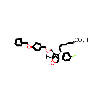 O=C(O)CCC/C=C\C[C@H]1[C@H](COCc2ccc(OCc3ccccc3)cc2)[C@@H]2C[C@@]1(c1ccc(F)cc1)CO2